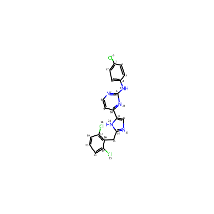 Clc1ccc(Nc2nccc(-c3cnc(Cc4c(Cl)cccc4Cl)[nH]3)n2)cc1